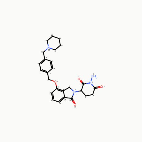 NN1C(=O)CCC(N2Cc3c(OCc4ccc(CN5CCCCC5)cc4)cccc3C2=O)C1=O